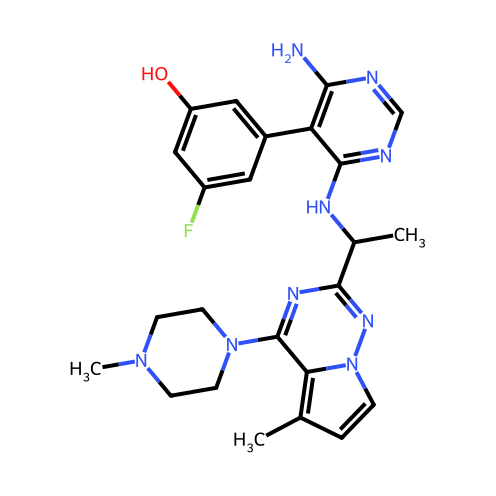 Cc1ccn2nc(C(C)Nc3ncnc(N)c3-c3cc(O)cc(F)c3)nc(N3CCN(C)CC3)c12